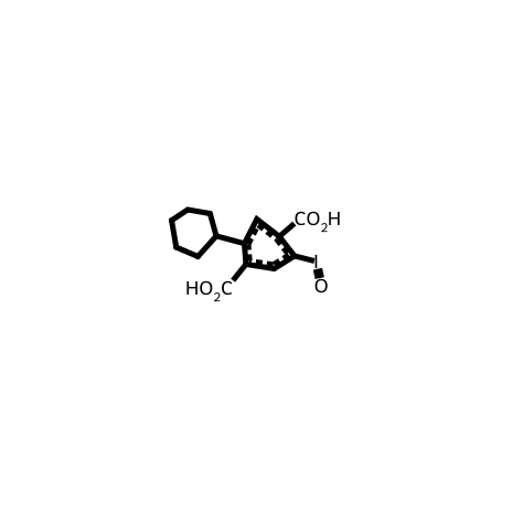 O=Ic1cc(C(=O)O)c(C2CCCCC2)cc1C(=O)O